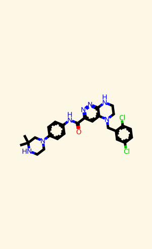 CC1(C)CN(c2ccc(NC(=O)c3cc4c(nn3)NCCN4Cc3cc(Cl)ccc3Cl)cc2)CCN1